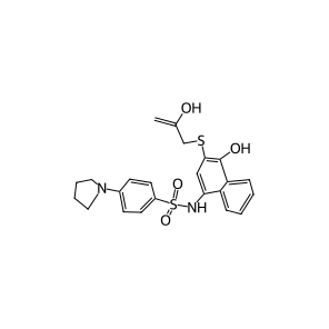 C=C(O)CSc1cc(NS(=O)(=O)c2ccc(N3CCCC3)cc2)c2ccccc2c1O